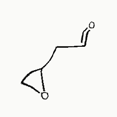 O=CCC1CO1